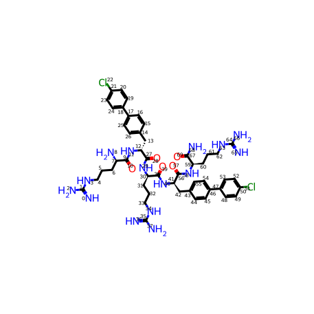 N=C(N)NCCC[C@@H](N)C(=O)N[C@H](Cc1ccc(-c2ccc(Cl)cc2)cc1)C(=O)N[C@H](CCCNC(=N)N)C(=O)N[C@H](Cc1ccc(-c2ccc(Cl)cc2)cc1)C(=O)N[C@H](CCCNC(=N)N)C(N)=O